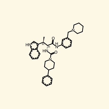 C[C@H](c1c[nH]c2ccccc12)[C@@H](NC(=O)N1CCC(c2ccccc2)CC1)C(=O)Nc1cccc(CN2CCCCC2)c1